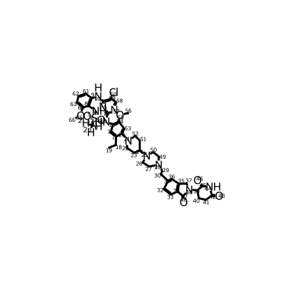 [2H]C([2H])([2H])S(=O)(=O)Nc1c(Nc2nc(Nc3cc(CC)c(N4CCC(N5CCN(CCc6ccc7c(c6)CN(C6CCC(=O)NC6=O)C7=O)CC5)CC4)cc3OC)ncc2Cl)cccc1OC